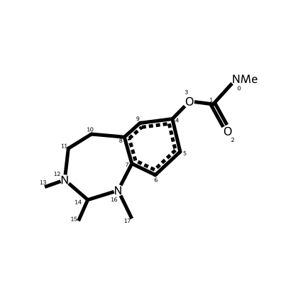 CNC(=O)Oc1ccc2c(c1)CCN(C)C(C)N2C